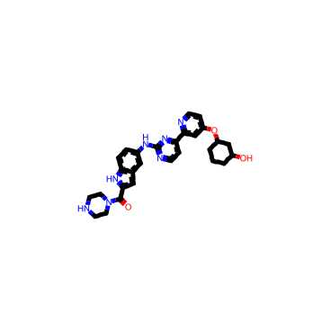 O=C(c1cc2cc(Nc3nccc(-c4cc(OC5CCCC(O)C5)ccn4)n3)ccc2[nH]1)N1CCNCC1